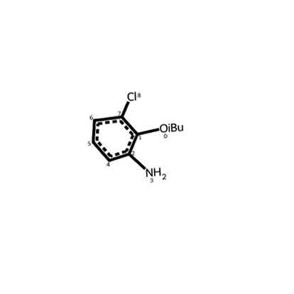 CC(C)COc1c(N)cccc1Cl